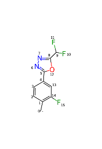 [CH2]c1ccc(-c2nnc(C(F)F)o2)cc1F